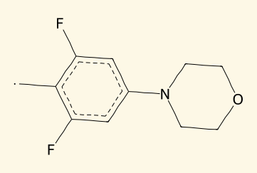 [CH2]c1c(F)cc(N2CCOCC2)cc1F